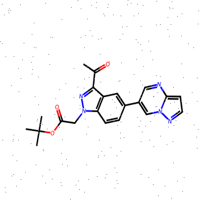 CC(=O)c1nn(CC(=O)OC(C)(C)C)c2ccc(-c3cnc4ccnn4c3)cc12